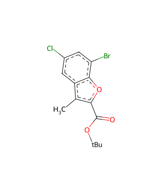 Cc1c(C(=O)OC(C)(C)C)oc2c(Br)cc(Cl)cc12